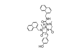 C[C@H]1[C@H]2N(C(=O)CN(C)N2C(=O)NCc2cccc3ccccc23)[C@@H](Cc2ccc(O)cc2)C(=O)N1Cc1cccc2ccccc12